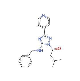 CC(C)CC(=O)n1nc(-c2ccncc2)nc1NCc1ccccc1